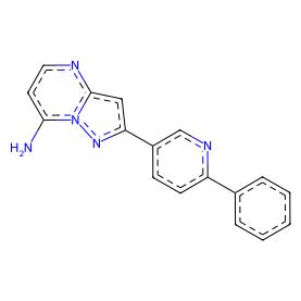 Nc1ccnc2cc(-c3ccc(-c4ccccc4)nc3)nn12